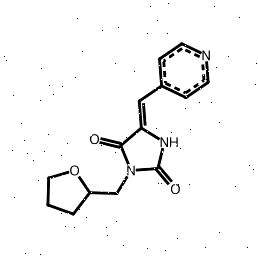 O=C1N/C(=C\c2ccncc2)C(=O)N1CC1CCCO1